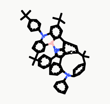 CC(C)(C)c1ccc(N2c3ccc(C(C)(C)C)cc3B3c4c(cc(C(C)(C)C)cc42)-c2cc4cc5c(c(-c6ccccc6)n3c25)-c2ccccc2N(c2ccccc2)c2ccc(cc2)C4(C)C)cc1